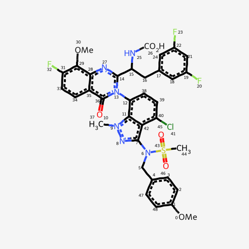 COc1ccc(CN(c2nn(C)c3c(-n4c(C(Cc5cc(F)cc(F)c5)NC(=O)O)nc5c(OC)c(F)ccc5c4=O)ccc(Cl)c23)S(C)(=O)=O)cc1